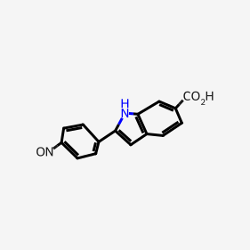 O=Nc1ccc(-c2cc3ccc(C(=O)O)cc3[nH]2)cc1